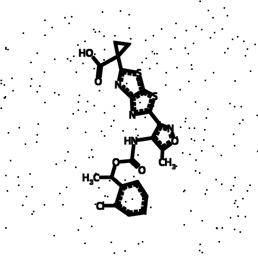 Cc1onc(-c2nc3nc(C4(C(=O)O)CC4)sc3s2)c1NC(=O)OC(C)c1ccccc1Cl